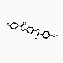 O=C(Oc1ccc(OC(=O)c2ccc(F)cc2)cc1)c1ccc(O)cc1